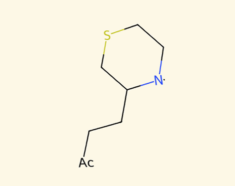 CC(=O)CCC1CSCC[N]1